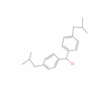 CC(C)Cc1ccc(C([O])c2ccc(CC(C)C)cc2)cc1